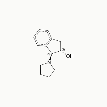 O[C@H]1Cc2ccccc2[C@@H]1N1CCCC1